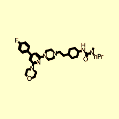 CCCN(C)C(=O)NC1CCC(CCN2CCN(c3cc(-c4ccc(F)cc4)cc(N4CCOCC4)n3)CC2)CC1